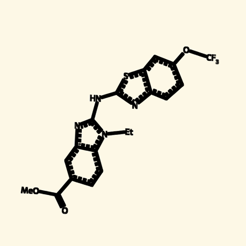 CCn1c(Nc2nc3ccc(OC(F)(F)F)cc3s2)nc2cc(C(=O)OC)ccc21